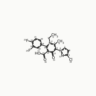 CCn1c(C)c(-n2ccc(Cl)n2)c(=O)c(C(=O)O)c1-c1ccc(F)c(F)c1